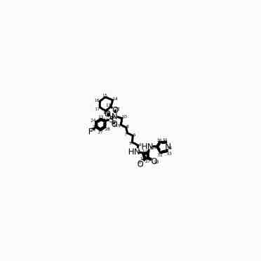 O=c1c(NCCCCCCCN(OC2CCCCC2)S(=O)(=O)c2ccc(F)cc2)c(Nc2ccncc2)c1=O